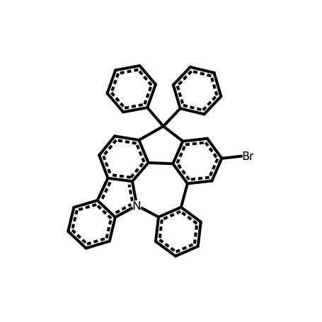 Brc1cc2c3c(c1)C(c1ccccc1)(c1ccccc1)c1ccc4c5ccccc5n(c4c1-3)-c1ccccc1-2